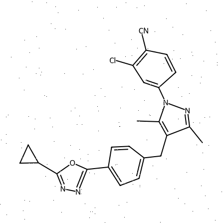 Cc1nn(-c2ccc(C#N)c(Cl)c2)c(C)c1Cc1ccc(-c2nnc(C3CC3)o2)cc1